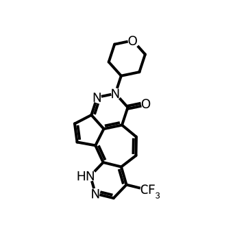 O=c1c2ccc3c(c4ccc(nn1C1CCOCC1)c2-4)NN=CC=3C(F)(F)F